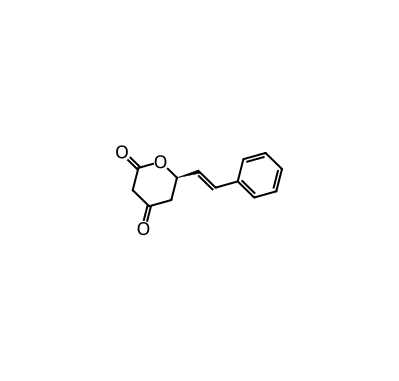 O=C1CC(=O)O[C@@H](/C=C/c2ccccc2)C1